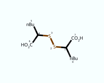 CCCCC(SSC(CCCC)C(=O)O)C(=O)O